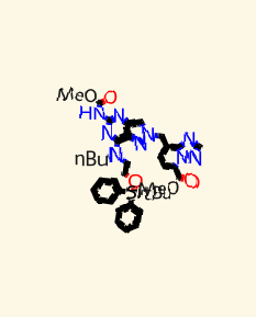 CCCCN(CCO[Si](c1ccccc1)(c1ccccc1)C(C)(C)C)c1nc(NC(=O)OC)nc2cn(Cc3ccc(C(=O)OC)n4ncnc34)nc12